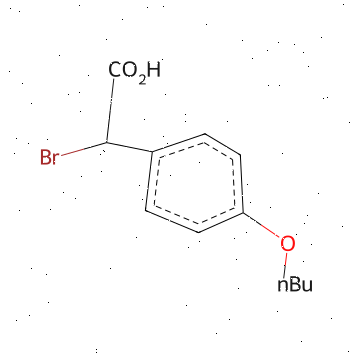 CCCCOc1ccc(C(Br)C(=O)O)cc1